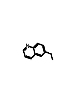 CCc1ccc2ncc[c]c2c1